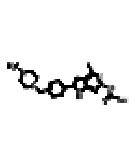 CN1CCN(Cc2ccc(-c3cc4c(Cl)nc(NC(=O)C(C)(C)C)nc4[nH]3)cc2)CC1